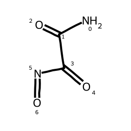 NC(=O)C(=O)N=O